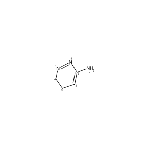 NC1=CCCN=N1